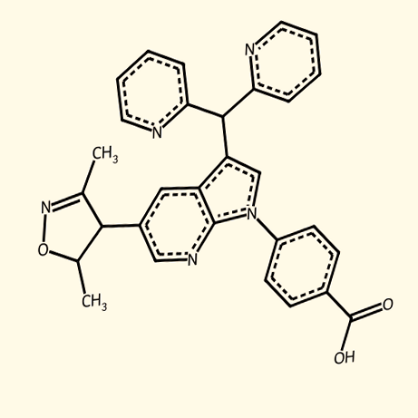 CC1=NOC(C)C1c1cnc2c(c1)c(C(c1ccccn1)c1ccccn1)cn2-c1ccc(C(=O)O)cc1